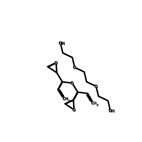 C=CC(OC(C=C)C1CO1)C1CO1.OCCOCCOCCO